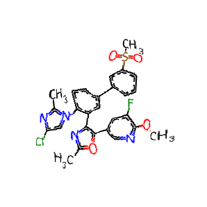 COc1ncc(-c2oc(C)nc2-c2cc(-c3cccc(S(C)(=O)=O)c3)ccc2-n2cc(Cl)nc2C)cc1F